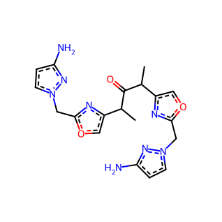 CC(C(=O)C(C)c1coc(Cn2ccc(N)n2)n1)c1coc(Cn2ccc(N)n2)n1